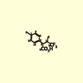 Cc1ccc(C(C(=O)O)C(C)C(F)(F)F)cc1